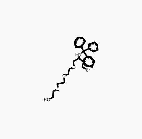 OCCOCCOCCOCC(CCBr)NC(c1ccccc1)(c1ccccc1)c1ccccc1